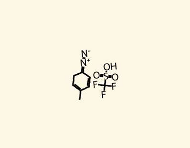 CC1=CCC(=[N+]=[N-])C=C1.O=S(=O)(O)C(F)(F)F